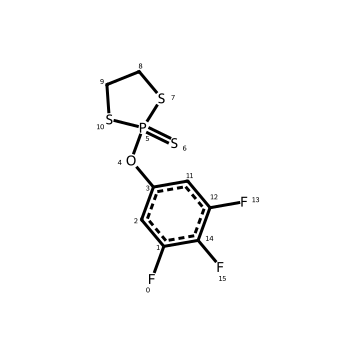 Fc1cc(OP2(=S)SCCS2)cc(F)c1F